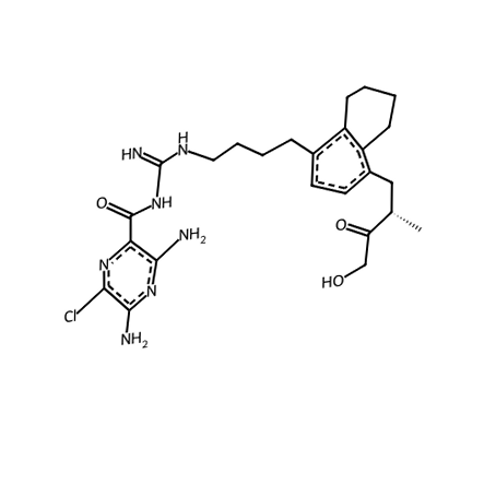 C[C@@H](Cc1ccc(CCCCNC(=N)NC(=O)c2nc(Cl)c(N)nc2N)c2c1CCCC2)C(=O)CO